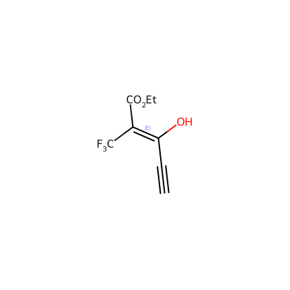 C#C/C(O)=C(/C(=O)OCC)C(F)(F)F